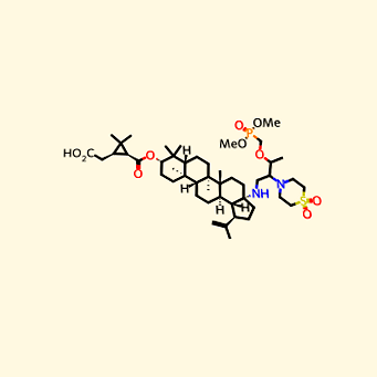 C=C(C)[C@@H]1CC[C@]2(NCC(C(C)OCP(=O)(OC)OC)N3CCS(=O)(=O)CC3)CC[C@]3(C)[C@H](CC[C@@H]4[C@@]5(C)CC[C@H](OC(=O)[C@H]6[C@@H](CC(=O)O)C6(C)C)C(C)(C)[C@@H]5CC[C@]43C)[C@@H]12